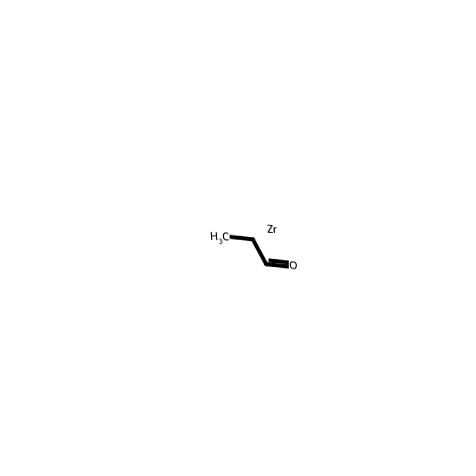 CCC=O.[Zr]